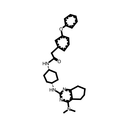 CN(C)c1nc(N[C@H]2CC[C@@H](NC(=O)Cc3cccc(Oc4ccccc4)c3)CC2)nc2c1CCCC2